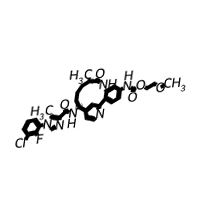 COCCOC(=O)Nc1ccc2c(c1)NC(=O)[C@H](C)CCC[C@H](NC(=O)c1ncn(-c3cccc(Cl)c3F)c1C)c1ccnc-2c1